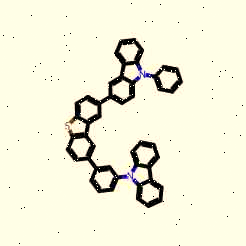 c1ccc(-n2c3ccccc3c3cc(-c4ccc5sc6ccc(-c7cccc(-n8c9ccccc9c9ccccc98)c7)cc6c5c4)ccc32)cc1